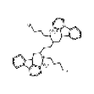 NCCCN(C(=O)O)C(CCC(CC1c2ccccc2-c2ccccc21)N(CCCN)C(=O)O)CC1c2ccccc2-c2ccccc21